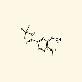 CNc1ncc(C(=O)OC(C)(C)C)cc1CO